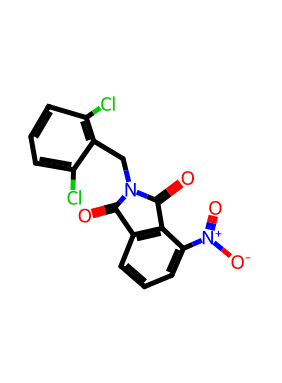 O=C1c2cccc([N+](=O)[O-])c2C(=O)N1Cc1c(Cl)cccc1Cl